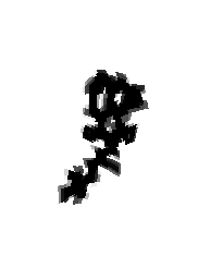 CC(C)(C)CCNCCN1C(=O)c2cccc3cccc(c23)C1=O